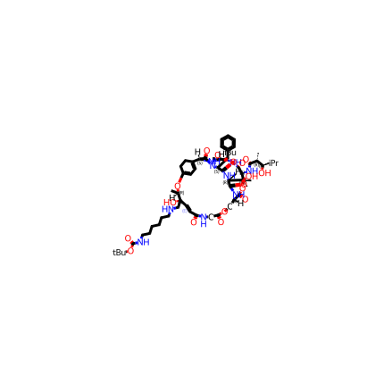 CC[C@H](C)[C@H]1NC(=O)[C@@H](NC(=O)[C@H](C)[C@H](O)C(C)C)[C@@H](C)OC(=O)[C@@H]2COC(=O)CNC(=O)/C=C/[C@](O)(CNCCCCCCNC(=O)OC(C)(C)C)[C@@H](C)OC3=CC=C(CC3)[C@H](NC1=O)C(=O)N(C)[C@@H](Cc1ccccc1)C(=O)N[C@H]([C@@H](C)O)C(=O)N2